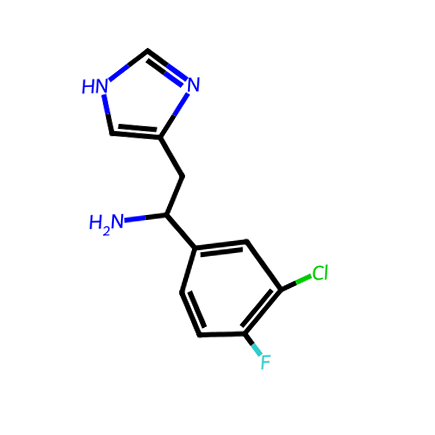 NC(Cc1c[nH]cn1)c1ccc(F)c(Cl)c1